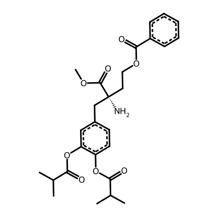 COC(=O)[C@@](N)(CCOC(=O)c1ccccc1)Cc1ccc(OC(=O)C(C)C)c(OC(=O)C(C)C)c1